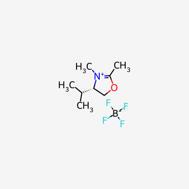 CC1=[N+](C)[C@@H](C(C)C)CO1.F[B-](F)(F)F